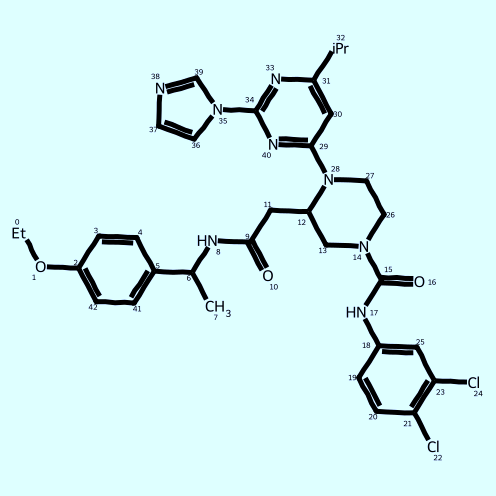 CCOc1ccc(C(C)NC(=O)CC2CN(C(=O)Nc3ccc(Cl)c(Cl)c3)CCN2c2cc(C(C)C)nc(-n3ccnc3)n2)cc1